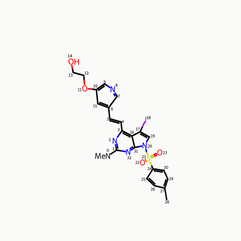 CNc1nc(C=Cc2cncc(OCCO)c2)c2c(I)cn(S(=O)(=O)c3ccc(C)cc3)c2n1